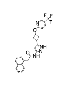 O=C(Cc1cccc2ccccc12)Nc1cc(C2CC(Oc3ccc(C(F)(F)F)cn3)C2)[nH]n1